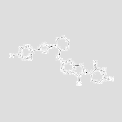 O=C1CC[C@@H](N2Cc3cc(O[C@@H]4CCCC[C@@H]4N4CC(c5ncc(Cl)cn5)C4)ccc3C2=O)C(=O)N1